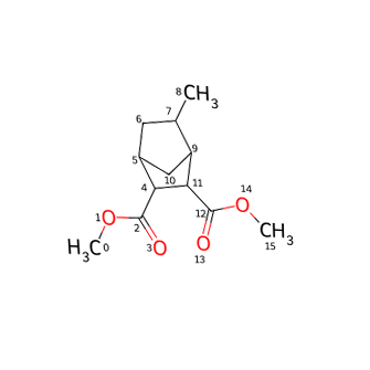 COC(=O)C1C2CC(C)C(C2)C1C(=O)OC